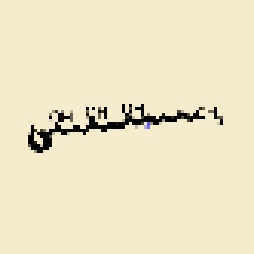 CCCCC/C=C/CC(O)CCCC(O)CCCC(O)c1ccccn1